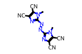 Cn1c(N=Nc2nc(C#N)c(C#N)n2C)nc(C#N)c1C#N